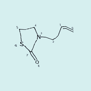 C=CCN1CCSC1=O